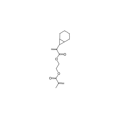 C=C(C)C(=O)OCCOC(=O)C(=C)C1C2CCCCC21